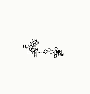 CC(C)(C)OC(=O)NC(CCOc1ccc(CCCCNC(=N)NC(=O)c2nc(Cl)c(N)nc2N)cc1)C(N)=O